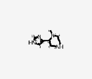 CN1CCNCC1c1c[nH]cn1